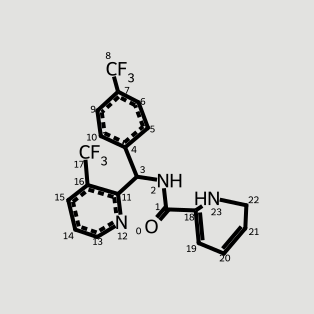 O=C(NC(c1ccc(C(F)(F)F)cc1)c1ncccc1C(F)(F)F)C1=CC=CCN1